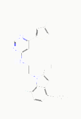 COc1ccc(F)c2c1cc(C)n2CCNc1cc(-c2cc(F)cs2)ncn1